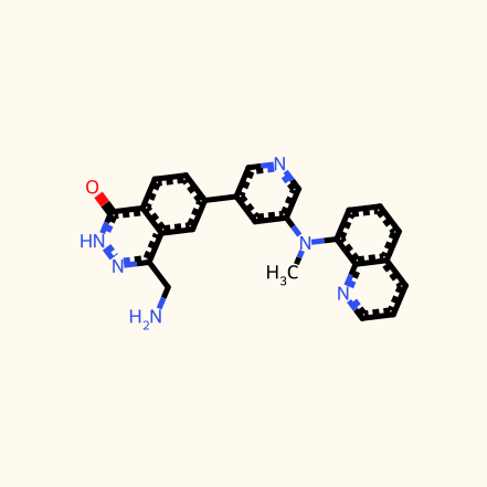 CN(c1cncc(-c2ccc3c(=O)[nH]nc(CN)c3c2)c1)c1cccc2cccnc12